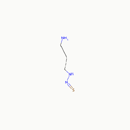 NCCCNN=S